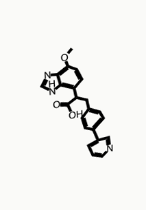 COc1ccc(C(Cc2ccc(-c3cccnc3)cc2)C(=O)O)c2[nH]cnc12